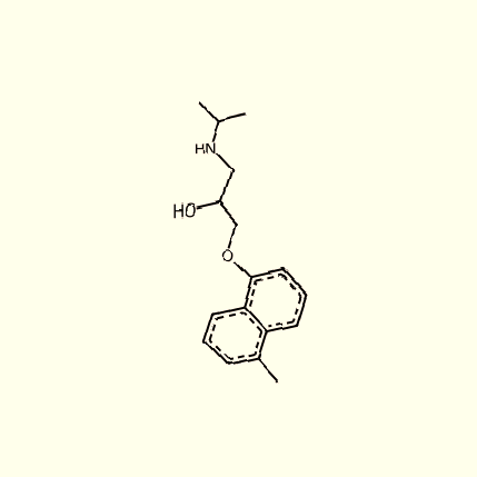 Cc1cccc2c(OCC(O)CNC(C)C)cccc12